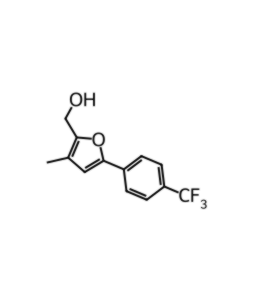 Cc1cc(-c2ccc(C(F)(F)F)cc2)oc1CO